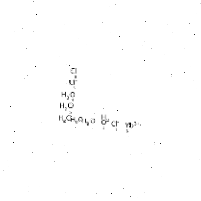 O.O.O.O.O.O.[Cl-].[Cl-].[Cl-].[Yb+3]